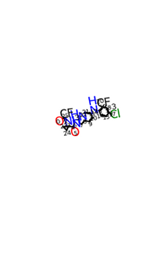 O=C(NC1(C(=O)NCc2ccc(Nc3ccc(Cl)cc3C(F)(F)F)cn2)CC1)C(F)(F)F